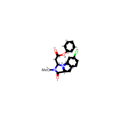 CON1C(=O)c2cc3ccc(Cl)cc3n2C1CC(=O)Oc1ccccc1